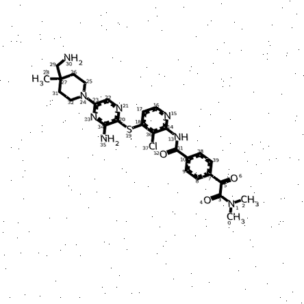 CN(C)C(=O)C(=O)c1ccc(C(=O)Nc2nccc(Sc3ncc(N4CCC(C)(CN)CC4)nc3N)c2Cl)cc1